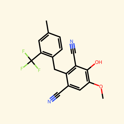 COc1cc(C#N)c(Cc2ccc(C)cc2C(F)(F)F)c(C#N)c1O